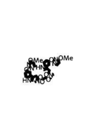 COc1ccnc(Oc2ccc3[nH]cc(CC(OC(=O)C(=O)OC(Cc4c[nH]c5ccc(Oc6nccc(OC)n6)cc45)N(C)C)N(C)C)c3c2)n1